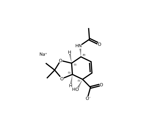 CC(=O)N[C@@H]1C=C[C@@](O)(C(=O)[O-])[C@H]2OC(C)(C)O[C@@H]12.[Na+]